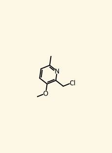 COc1ccc(C)nc1CCl